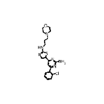 Nc1nc(-c2ccccc2Cl)cc(C2CN=C(NCCCN3CCOCC3)S2)n1